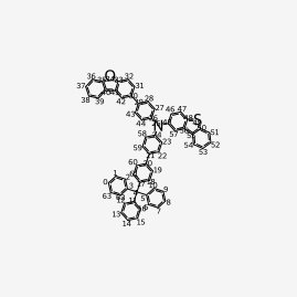 c1ccc(C(c2ccccc2)(c2ccccc2)c2ccc(-c3ccc(N(c4ccc(-c5ccc6oc7ccccc7c6c5)cc4)c4ccc5sc6ccccc6c5c4)cc3)cc2)cc1